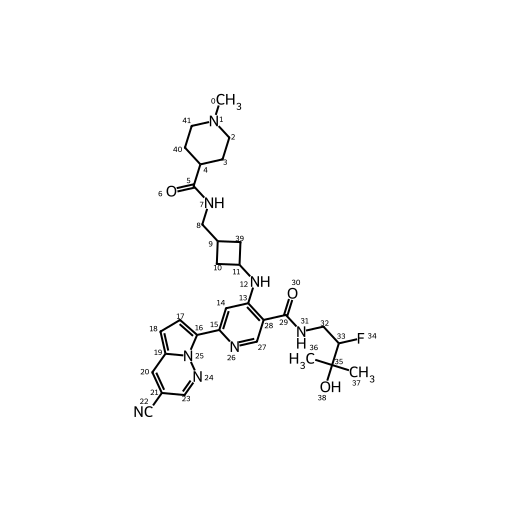 CN1CCC(C(=O)NCC2CC(Nc3cc(-c4ccc5cc(C#N)cnn45)ncc3C(=O)NCC(F)C(C)(C)O)C2)CC1